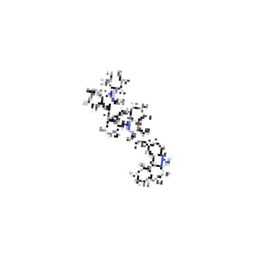 Cn1c2ccc(-c3ccc4c(c3)c3cccc(-c5ccc6c7ccccc7n(-c7ccccc7)c6c5)c3n4-c3ccccc3)cc2c2c3ccccc3ccc21